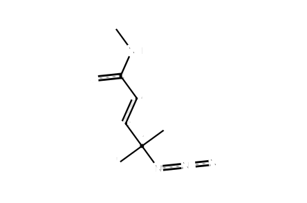 CNC(=O)C=CC(C)(C)N=[N+]=[N-]